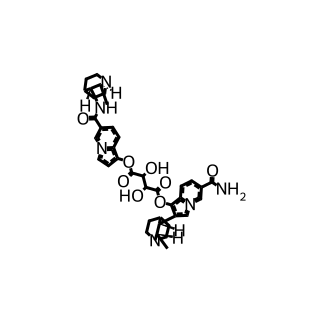 C[C@H]1[C@H](NC(=O)c2ccc3c(OC(=O)C(O)C(O)C(=O)Oc4c([C@H]5C6CCN(CC6)[C@H]5C)cn5cc(C(N)=O)ccc45)ccn3c2)C2CCN1CC2